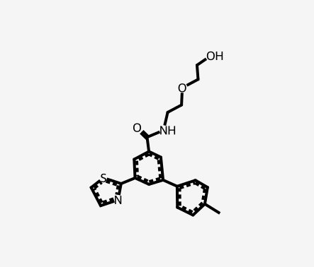 Cc1ccc(-c2cc(C(=O)NCCOCCO)cc(-c3nccs3)c2)cc1